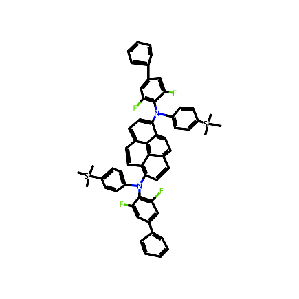 C[Si](C)(C)c1ccc(N(c2c(F)cc(-c3ccccc3)cc2F)c2ccc3ccc4c(N(c5ccc([Si](C)(C)C)cc5)c5c(F)cc(-c6ccccc6)cc5F)ccc5ccc2c3c54)cc1